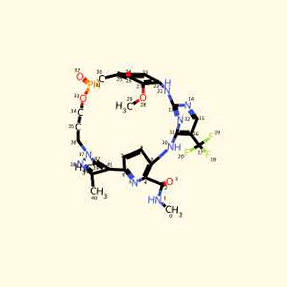 CNC(=O)c1nc2ccc1Nc1nc(ncc1C(F)(F)F)Nc1ccc(cc1OC)C[PH](=O)OCCCn1nc(C)c-2c1C